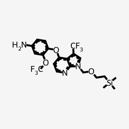 C[Si](C)(C)CCOCn1cc(C(F)(F)F)c2c(Oc3ccc(N)cc3OC(F)(F)F)ccnc21